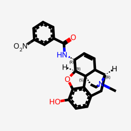 CN1CC[C@]23c4c5ccc(O)c4O[C@H]2[C@H](NC(=O)c2cccc([N+](=O)[O-])c2)C=CC3[C@H]1C5